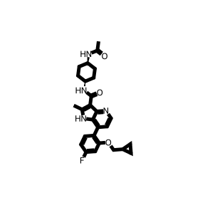 CC(=O)N[C@H]1CC[C@H](NC(=O)c2c(C)[nH]c3c(-c4ccc(F)cc4OCC4CC4)ccnc23)CC1